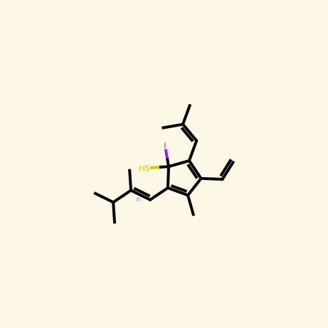 C=CC1=C(C=C(C)C)C(S)(I)C(/C=C(\C)C(C)C)=C1C